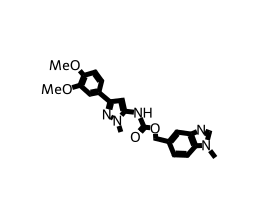 COc1ccc(-c2cc(NC(=O)OCc3ccc4c(c3)ncn4C)n(C)n2)cc1OC